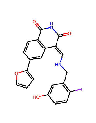 O=C1NC(=O)c2ccc(-c3ccco3)cc2/C1=C\NCc1cc(O)ccc1I